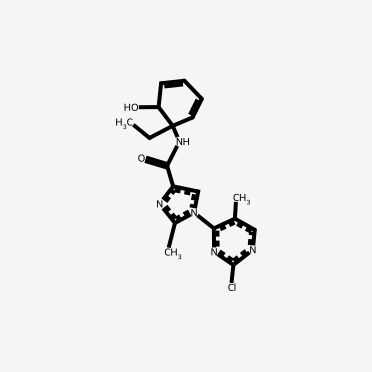 CCC1(NC(=O)c2cn(-c3nc(Cl)ncc3C)c(C)n2)C=CC=CC1O